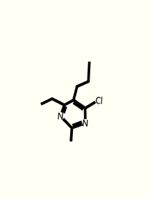 CCCc1c(Cl)nc(C)nc1CC